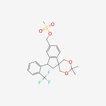 CC1(C)OCC2(CO1)CC(c1ccccc1C(F)(F)F)c1cc(COS(C)(=O)=O)ccc12